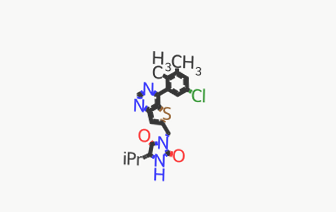 Cc1cc(Cl)cc(-c2ncnc3cc(CN4C(=O)NC(C(C)C)C4=O)sc23)c1C